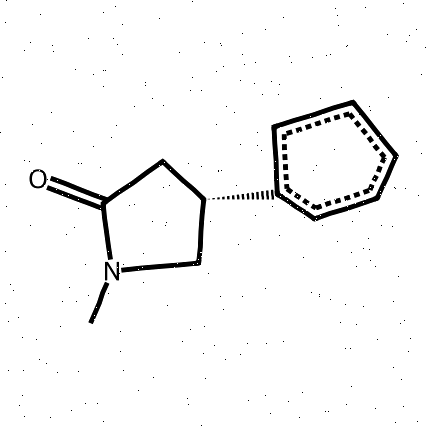 CN1C[C@@H](c2ccccc2)CC1=O